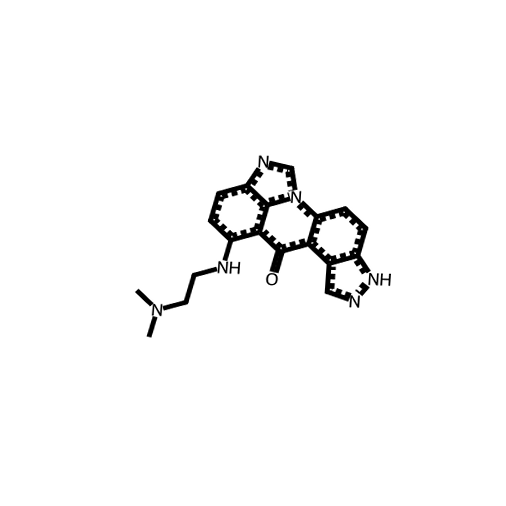 CN(C)CCNc1ccc2ncn3c4ccc5[nH]ncc5c4c(=O)c1c23